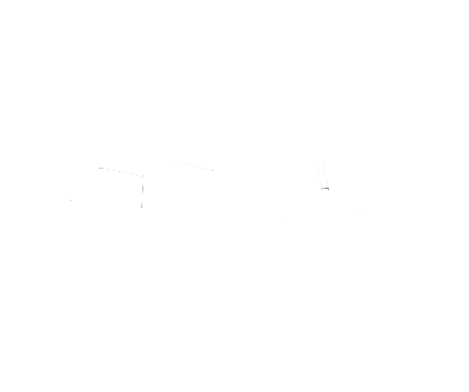 CCC(=O)OC#CC[C@H]1[CH][CH][CH]O1